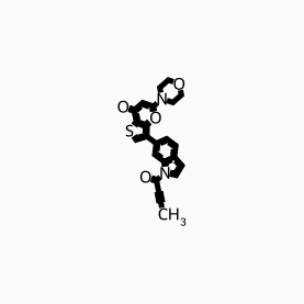 CC#CC(=O)n1ccc2ccc(-c3csc4c(=O)cc(N5CCOCC5)oc34)cc21